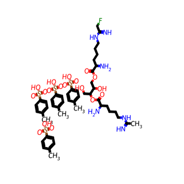 CC(=N)NCCCCC(N)C(=O)OC(CO)C(O)COC(=O)C(N)CCCCNC(=N)CF.Cc1ccc(S(=O)(=O)O)cc1.Cc1ccc(S(=O)(=O)O)cc1.Cc1ccc(S(=O)(=O)O)cc1.Cc1ccc(S(=O)(=O)O)cc1